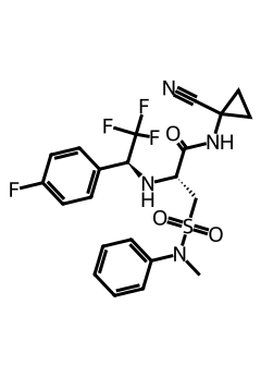 CN(c1ccccc1)S(=O)(=O)C[C@H](N[C@@H](c1ccc(F)cc1)C(F)(F)F)C(=O)NC1(C#N)CC1